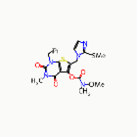 CON(C)C(=O)Oc1c(Cn2ccnc2SC)sc2c1c(=O)n(C)c(=O)n2CC(C)C